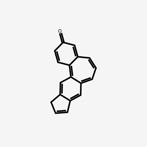 O=c1ccc2c3cc4c(cc3cccc-2c1)C=CC4